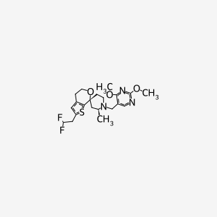 COc1ncc(CN2CC[C@]3(C[C@@H]2C)OCCc2cc(CC(F)F)sc23)c(OC)n1